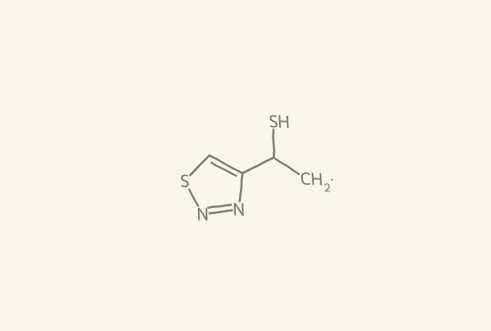 [CH2]C(S)c1csnn1